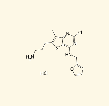 Cc1c(CCCN)sc2c(NCc3ccco3)nc(Cl)nc12.Cl